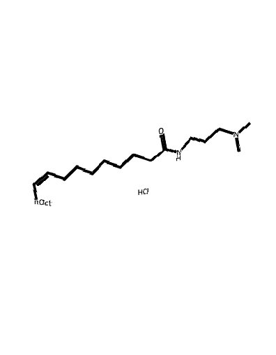 CCCCCCCC/C=C\CCCCCCCC(=O)NCCCN(C)C.Cl